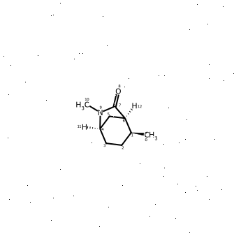 C[C@H]1CC[C@@H]2C[C@H]1C(=O)N2C